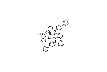 CC1(C)c2ccccc2-c2cc3c(N(c4ccc(-c5ccccc5)cc4)c4ccccn4)c4ccccc4c(N(c4ccc(-c5ccccc5)cc4)c4ccccn4)c3cc21